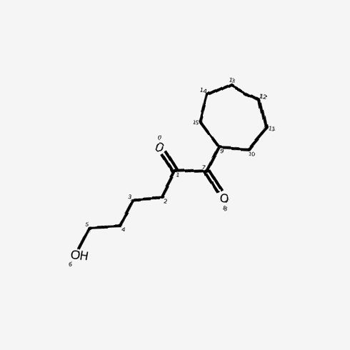 O=C(CCCCO)C(=O)C1CCCCCC1